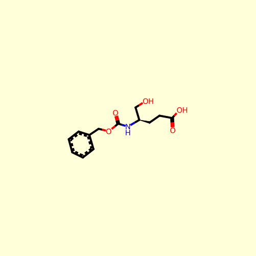 O=C(O)CC[C@H](CO)NC(=O)OCc1ccccc1